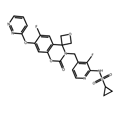 O=C1Oc2cc(Oc3cccnn3)c(F)cc2C2(COC2)N1Cc1ccnc(NS(=O)(=O)C2CC2)c1F